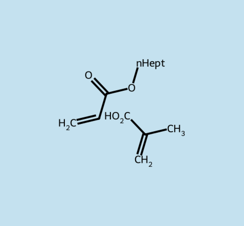 C=C(C)C(=O)O.C=CC(=O)OCCCCCCC